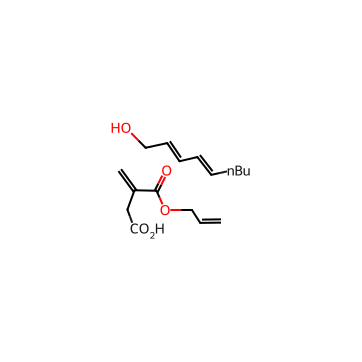 C=CCOC(=O)C(=C)CC(=O)O.CCCCC=CC=CCO